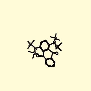 C[Si](C)(C)N(c1ccc(N([Si](C)(C)C)[Si](C)(C)C)c2c1C(=O)c1ccccc1C2=O)[Si](C)(C)C